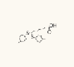 Cc1ccc(SC(CCCCCC(=O)O)Sc2ccc(C)cc2)cc1